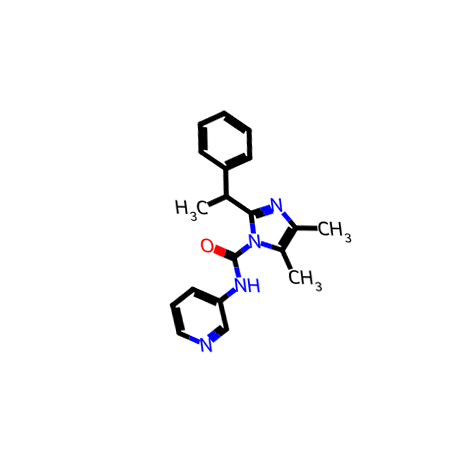 Cc1nc(C(C)c2ccccc2)n(C(=O)Nc2cccnc2)c1C